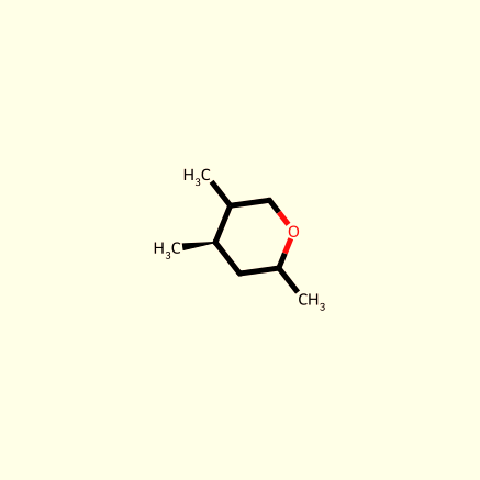 CC1C[C@@H](C)C(C)CO1